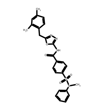 Cc1ccc(Cc2nnc(NC(=O)c3ccc(S(=O)(=O)N(C)c4ccccc4)cc3)o2)c(C)c1